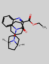 CCOC(=O)c1nc2ccccc2n([C@H]2C[C@H]3CC[C@@H](C2)N3C2CCCCCC2)c1=O